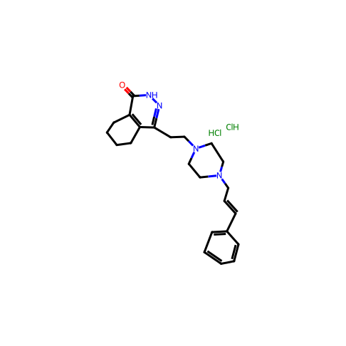 Cl.Cl.O=c1[nH]nc(CCN2CCN(CC=Cc3ccccc3)CC2)c2c1CCCC2